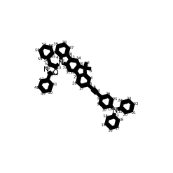 CC1(C)c2cc(C#Cc3ccc(N(c4ccccc4)c4ccccc4)cc3)ccc2-c2cc3c(cc21)c1ccccc1n3-c1oc(-c2ccccc2)nc1-c1ccccc1